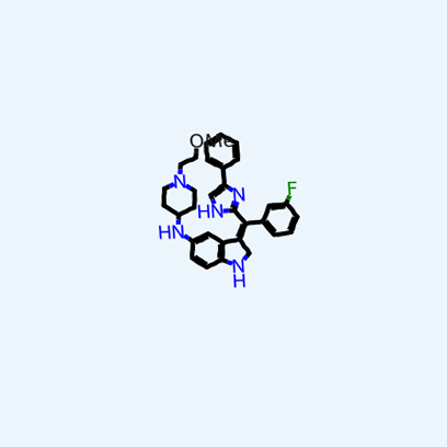 COCCN1CCC(Nc2ccc3c(c2)C(=C(c2cccc(F)c2)c2nc(-c4ccccc4)c[nH]2)CN3)CC1